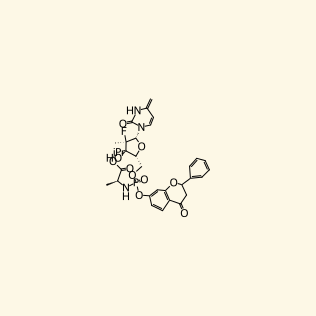 C=C1C=CN([C@@H]2O[C@H](COP(=O)(N[C@@H](C)C(=O)OC(C)C)Oc3ccc4c(c3)OC(c3ccccc3)CC4=O)[C@@H](O)[C@@]2(C)F)C(=O)N1